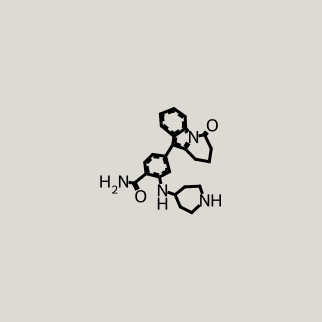 NC(=O)c1ccc(-c2c3n(c4ccccc24)C(=O)CCC3)cc1NC1CCNCC1